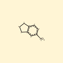 O=[N+]([O-])c1ccc2c(c1)[CH]CC2